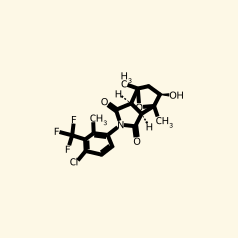 Cc1c(N2C(=O)[C@@H]3[C@H](C2=O)C2(C)OC3(C)C[C@H]2O)ccc(Cl)c1C(F)(F)F